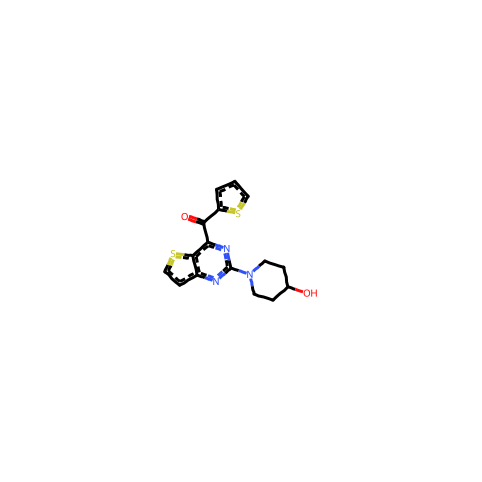 O=C(c1cccs1)c1nc(N2CCC(O)CC2)nc2ccsc12